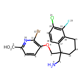 NCC1(COc2ccc(C(=O)O)nc2Br)CCCc2c1ccc(Cl)c2F